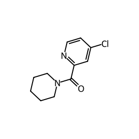 O=C(c1cc(Cl)ccn1)N1CCCCC1